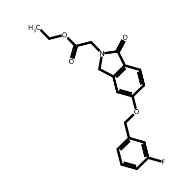 CCOC(=O)CN1Cc2cc(OCc3cccc(F)c3)ccc2C1=O